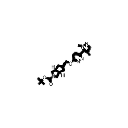 Cc1cnn(C)c1-c1ccc(OCC2C[C@@H]3CN(C(=O)OC(C)(C)C)C[C@@H]3C2)nn1